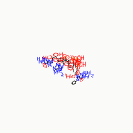 COCC[C@H]1[C@@H](O)[C@H](n2c[n+](Cc3ccccc3)c3c(=O)[nH]c(N)nc32)O[C@@H]1COP(=O)(O)OP(=O)(O)OP(=O)(O)OCC1O[C@@H](n2cnc3c(N)ncnc32)[C@H](OC)[C@@H]1P(=O)([O-])OC[C@H]1O[C@@H](n2cnc3c(=O)[nH]c(N)nc32)[C@H](O)[C@@H]1O